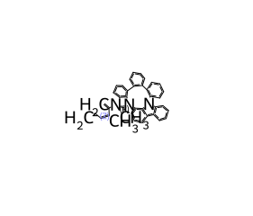 C=C/C=C(/C)C(=C)N1c2cccc3c2N(c2cccc4c5ccccc5n(c24)-c2ccccc2-c2ccccc2-3)[C@@H]1C